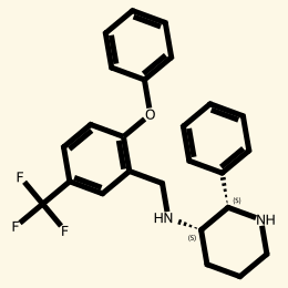 FC(F)(F)c1ccc(Oc2ccccc2)c(CN[C@H]2CCCN[C@H]2c2ccccc2)c1